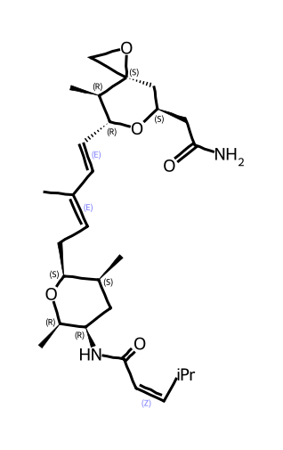 CC(/C=C/[C@H]1O[C@H](CC(N)=O)C[C@@]2(CO2)[C@@H]1C)=C\C[C@@H]1O[C@H](C)[C@H](NC(=O)/C=C\C(C)C)C[C@@H]1C